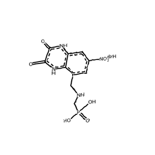 Br.O=c1[nH]c2cc([N+](=O)[O-])cc(CNCP(=O)(O)O)c2[nH]c1=O